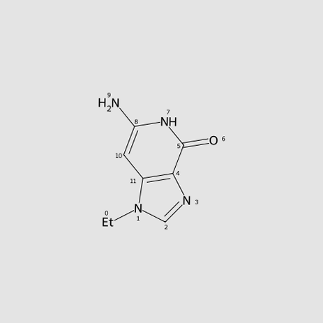 CCn1cnc2c(=O)[nH]c(N)cc21